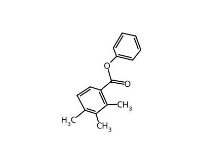 Cc1ccc(C(=O)Oc2ccccc2)c(C)c1C